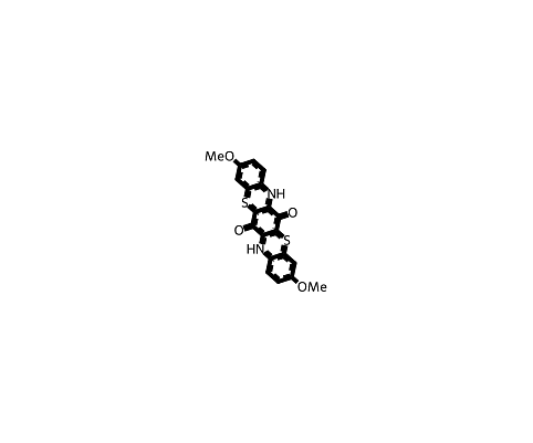 COc1ccc2[nH]c3c(=O)c4sc5cc(OC)ccc5[nH]c4c(=O)c3sc2c1